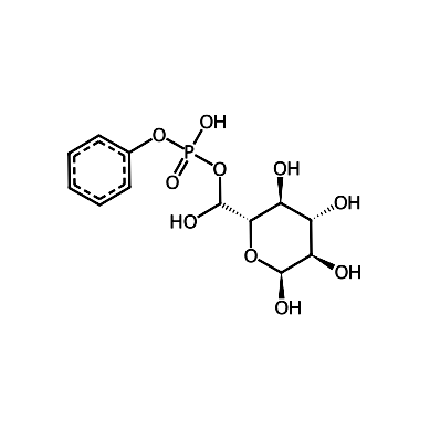 O=P(O)(Oc1ccccc1)OC(O)[C@H]1O[C@H](O)[C@H](O)[C@@H](O)[C@@H]1O